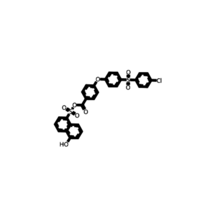 O=C(OS(=O)(=O)c1cccc2c(O)cccc12)c1ccc(Oc2ccc(S(=O)(=O)c3ccc(Cl)cc3)cc2)cc1